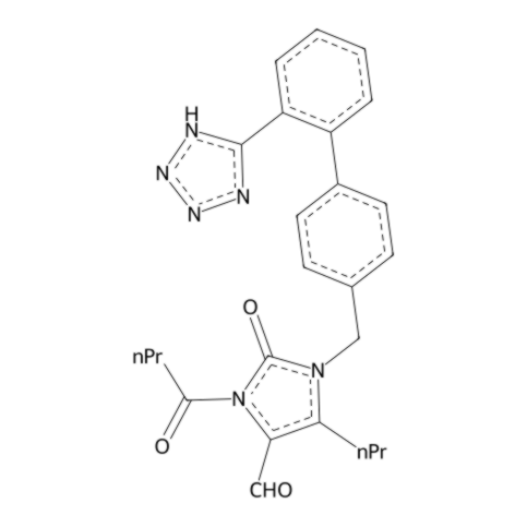 CCCC(=O)n1c(C=O)c(CCC)n(Cc2ccc(-c3ccccc3-c3nnn[nH]3)cc2)c1=O